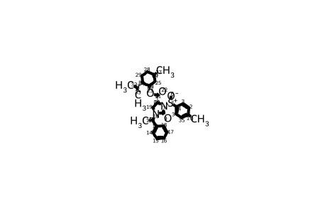 Cc1ccc([S+]([O-])N2C(=O)N([C@H](C)c3ccccc3)C[C@@H]2C(=O)O[C@@H]2C[C@H](C)CC[C@H]2C(C)C)cc1